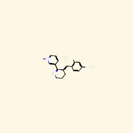 COc1ccc(/C=C2\CCCN=C2c2ccc[n+](C(C)C)c2)c(OC)c1